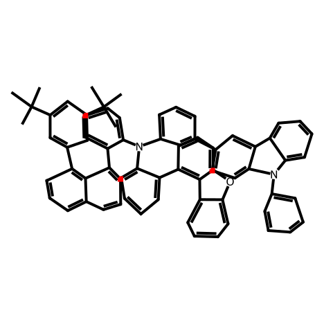 CC(C)(C)c1cc(-c2cccc3cccc(-c4ccccc4N(c4cccc(-c5ccc6c(c5)c5ccccc5n6-c5ccccc5)c4)c4ccccc4-c4cccc5oc6ccccc6c45)c23)cc(C(C)(C)C)c1